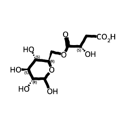 O=C(O)C[C@H](O)C(=O)OC[C@H]1OC(O)[C@H](O)[C@@H](O)[C@@H]1O